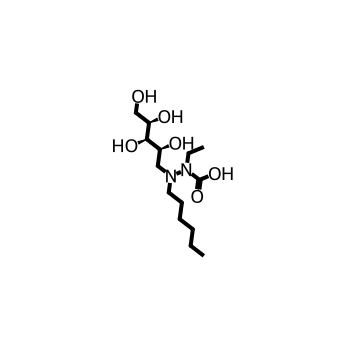 CCCCCCN(C[C@H](O)[C@@H](O)[C@H](O)CO)N(CC)C(=O)O